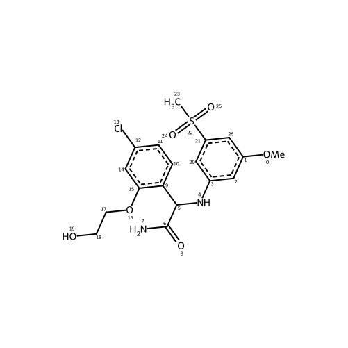 COc1cc(NC(C(N)=O)c2ccc(Cl)cc2OCCO)cc(S(C)(=O)=O)c1